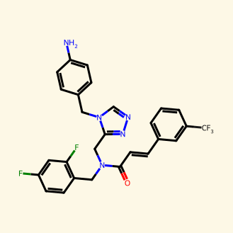 Nc1ccc(Cn2cnnc2CN(Cc2ccc(F)cc2F)C(=O)/C=C/c2cccc(C(F)(F)F)c2)cc1